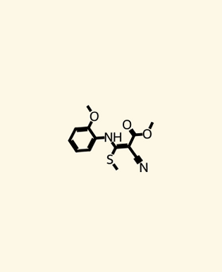 COC(=O)C(C#N)=C(Nc1ccccc1OC)SC